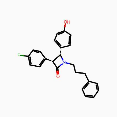 O=C1[C@@H](c2ccc(F)cc2)[C@H](c2ccc(O)cc2)N1CCCc1ccccc1